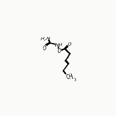 CCCCCC(=O)ONC(N)=O